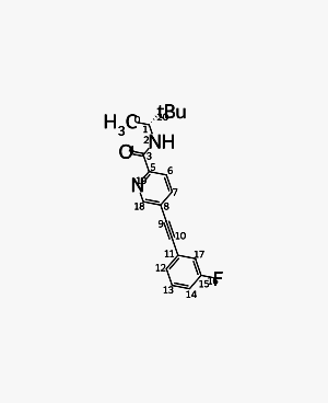 C[C@@H](NC(=O)c1ccc(C#Cc2cccc(F)c2)cn1)C(C)(C)C